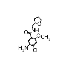 COc1cc(Cl)c(N)cc1C(=O)NCC1CCCO1